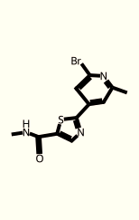 CNC(=O)c1cnc(-c2cc(C)nc(Br)c2)s1